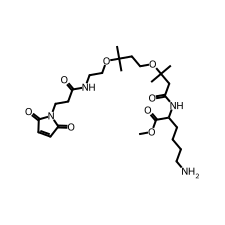 COC(=O)C(CCCCN)NC(=O)CC(C)(C)OCCC(C)(C)OCCNC(=O)CCN1C(=O)C=CC1=O